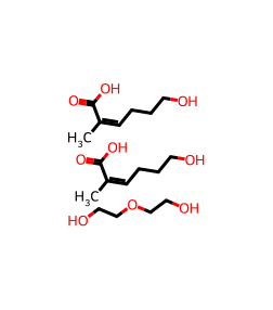 CC(=CCCCO)C(=O)O.CC(=CCCCO)C(=O)O.OCCOCCO